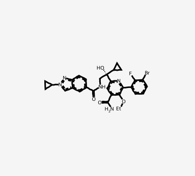 CCOc1c(C(N)=O)cc([C@@](O)(CNC(=O)c2ccc3nn(C4CC4)cc3c2)C2CC2)nc1-c1cccc(Br)c1F